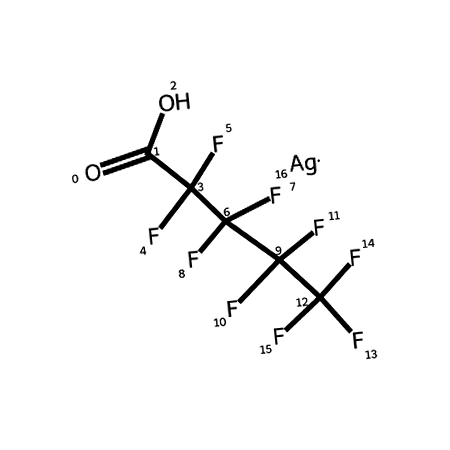 O=C(O)C(F)(F)C(F)(F)C(F)(F)C(F)(F)F.[Ag]